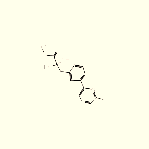 CC(C)(C)OC(=O)C(C)(C)Cc1cccc(-c2cncc(Cl)n2)c1